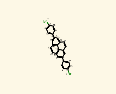 Brc1ccc(-c2cc3ccc4cc(-c5ccc(Br)cc5)cc5ccc(c2)c3c45)cc1